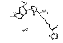 COc1cc2nc(C)ccc2cc1-c1cnc(C(N)CCCCCC(=O)c2ncco2)[nH]1.Cl